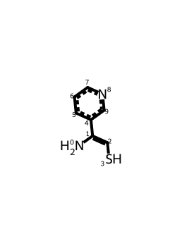 N/C(=C\S)c1cccnc1